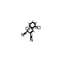 N#CC(=Cc1ccccc1Cl)C(O)C#N